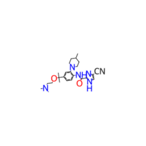 CC1CCN(c2cc(C(C)(C)OCCN(C)C)ccc2NC(=O)c2nc(C#N)c[nH]2)CC1